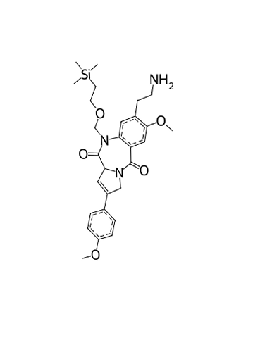 COc1ccc(C2=CC3C(=O)N(COCC[Si](C)(C)C)c4cc(CCN)c(OC)cc4C(=O)N3C2)cc1